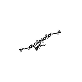 C=CC(=O)OCCCCCCOc1ccc(OC(=O)[C@H]2CC[C@H](C(=O)Oc3ccc(OC(=O)[C@H]4CC[C@H](C(=O)Oc5ccc(OCCCCCCOC(=O)C=C)cc5)CC4)c(/C=N/N(CCCCCC)c4nc5cccnc5s4)c3)CC2)cc1